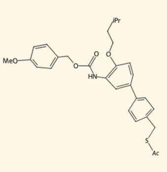 COc1ccc(COC(=O)Nc2cc(-c3ccc(CSC(C)=O)cc3)ccc2OCCC(C)C)cc1